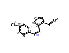 O=Cc1cscc1/C=C\c1ccc(Cl)cc1